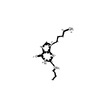 CCCNc1nc2c(ncn2CCCCO)c(=O)[nH]1